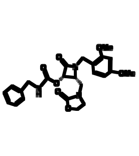 COc1ccc(CN2C(=O)[C@@H](OC(=O)NCc3ccccc3)[C@H]2CN2CCOC2=O)c(OC)c1